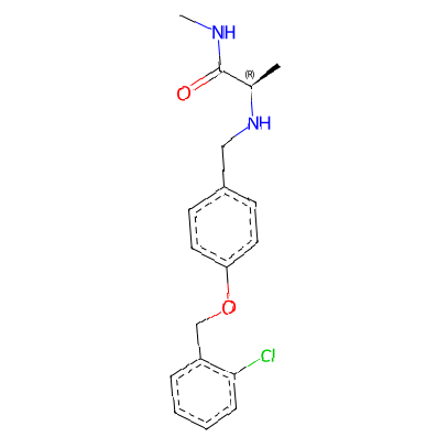 CNC(=O)[C@@H](C)NCc1ccc(OCc2ccccc2Cl)cc1